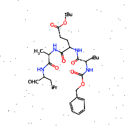 CCC(C)C(NC(=O)OCc1ccccc1)C(=O)NC(CCC(=O)OC(C)(C)C)C(=O)NC(C)C(=O)NC(C=O)CC(C)C